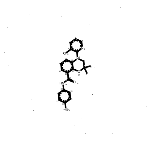 CC1(C)CN(c2ncccc2Cl)c2cccc(C(=O)Nc3ccc(C(C)(C)C)cc3)c2O1